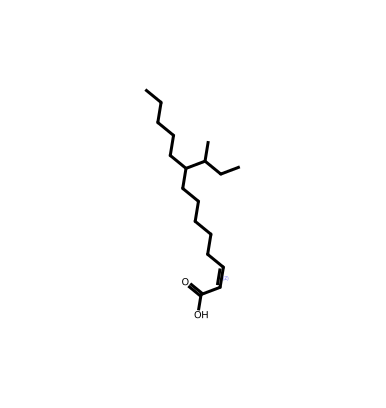 CCCCCC(CCCCC/C=C\C(=O)O)C(C)CC